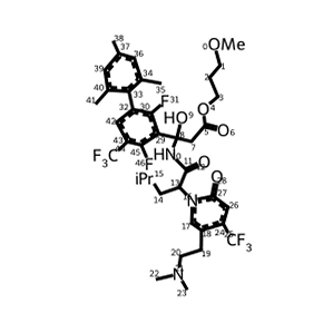 COCCCOC(=O)CC(O)(NC(=O)C(CC(C)C)n1cc(CCN(C)C)c(C(F)(F)F)cc1=O)c1c(F)c(-c2c(C)cc(C)cc2C)cc(C(F)(F)F)c1F